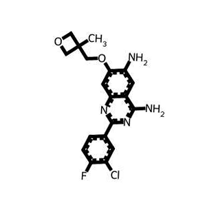 CC1(COc2cc3nc(-c4ccc(F)c(Cl)c4)nc(N)c3cc2N)COC1